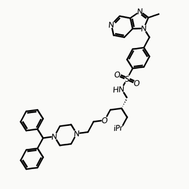 Cc1nc2cnccc2n1Cc1ccc(S(=O)(=O)NC[C@@H](COCCN2CCN(C(c3ccccc3)c3ccccc3)CC2)CC(C)C)cc1